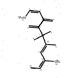 C=C(/C=C\NC)C(=C)C(C)(C)/C(C)=C/C(=C\C)C(C)(C)C